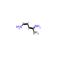 B/C(N)=C/C=C\N